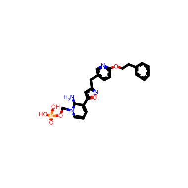 NC1C(c2cc(Cc3ccc(OCCc4ccccc4)nc3)no2)=CC=CN1COP(=O)(O)O